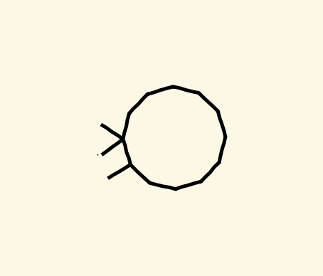 [CH2]C1(C)CCCCCCCCCCC1C